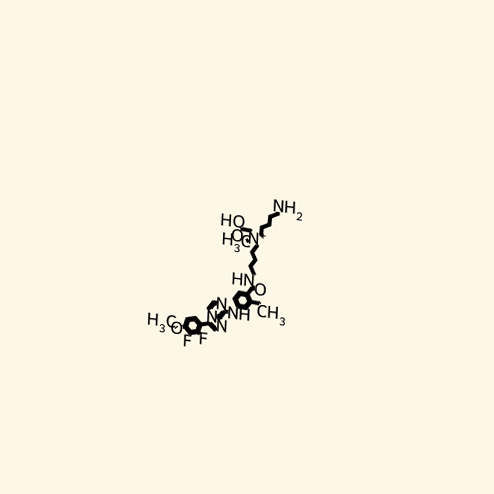 CCc1cc(Nc2nccn3c(-c4ccc(OC)c(F)c4F)cnc23)ccc1C(=O)NCCCCC[N+](C)(CCCCCN)CC(=O)O